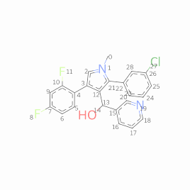 Cn1cc(-c2ccc(F)cc2F)c(C(O)c2cccnc2)c1-c1cccc(Cl)c1